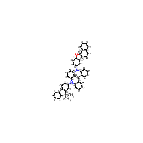 CC1(C)c2ccccc2-c2ccc(N3c4ccccc4B4c5ccccc5N(c5ccc6oc7c8ccccc8ccc7c6c5)c5cccc3c54)cc21